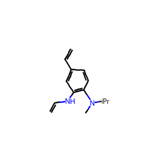 C=CNc1cc(C=C)ccc1N(C)C(C)C